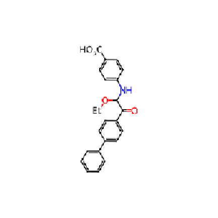 CCOC(Nc1ccc(C(=O)O)cc1)C(=O)c1ccc(-c2ccccc2)cc1